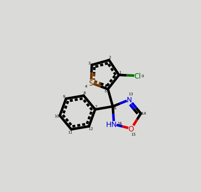 Clc1ccsc1C1(c2ccccc2)N=CON1